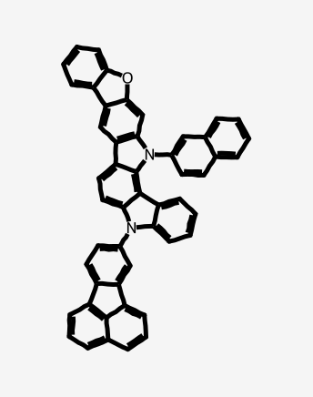 c1ccc2cc(-n3c4cc5oc6ccccc6c5cc4c4ccc5c(c6ccccc6n5-c5ccc6c(c5)-c5cccc7cccc-6c57)c43)ccc2c1